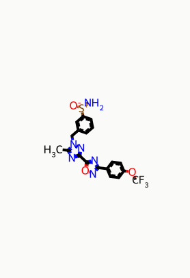 Cc1nc(-c2nc(-c3ccc(OC(F)(F)F)cc3)no2)nn1Cc1cccc([S+](N)[O-])c1